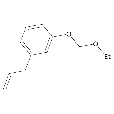 C=CCc1cc[c]c(OCOCC)c1